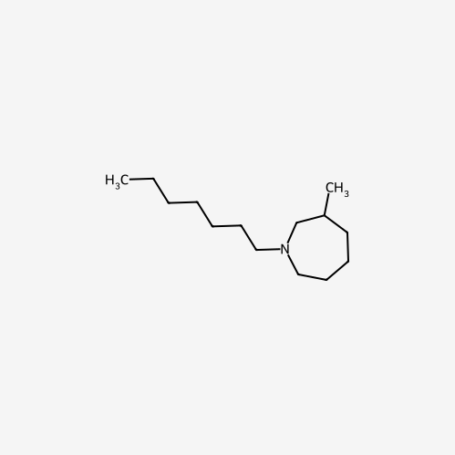 CCCCCCCN1CCCCC(C)C1